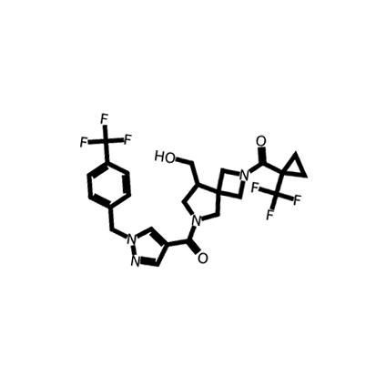 O=C(c1cnn(Cc2ccc(C(F)(F)F)cc2)c1)N1CC(CO)C2(C1)CN(C(=O)C1(C(F)(F)F)CC1)C2